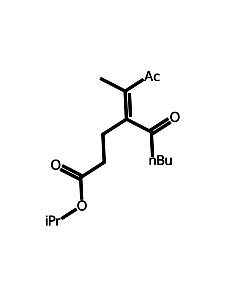 CCCCC(=O)/C(CCC(=O)OC(C)C)=C(/C)C(C)=O